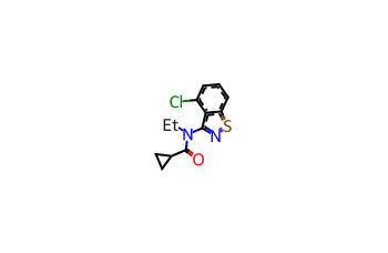 CCN(C(=O)C1CC1)c1nsc2cccc(Cl)c12